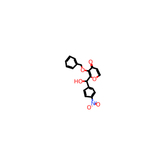 O=c1ccoc(C(O)c2ccc([N+](=O)[O-])cc2)c1OCc1ccccc1